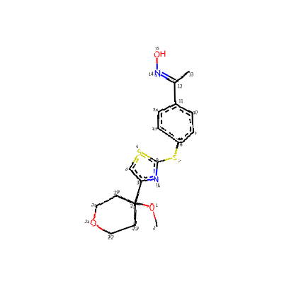 COC1(c2csc(Sc3ccc(C(C)=NO)cc3)n2)CCOCC1